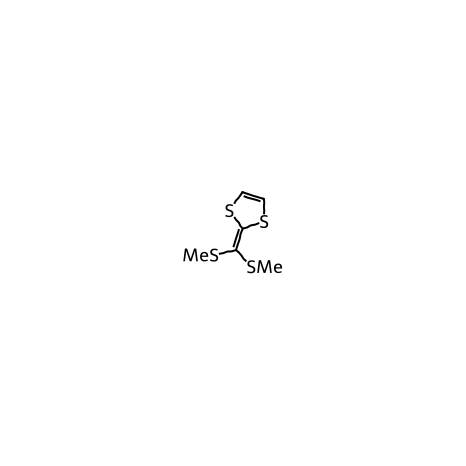 CSC(SC)=C1SC=CS1